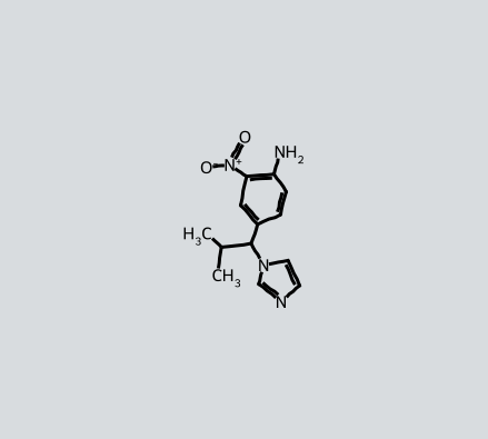 CC(C)C(c1ccc(N)c([N+](=O)[O-])c1)n1ccnc1